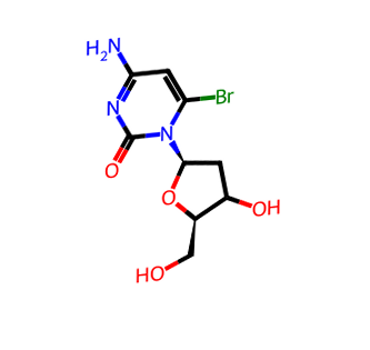 Nc1cc(Br)n([C@H]2CC(O)[C@@H](CO)O2)c(=O)n1